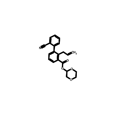 C=CCc1c(C(=O)OC2COCCO2)cccc1-c1ccccc1C#N